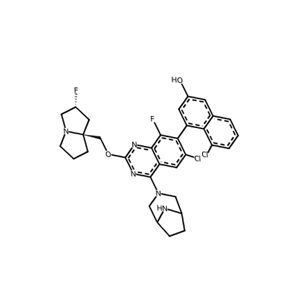 Oc1cc(-c2c(Cl)cc3c(N4CC5CCC(C4)N5)nc(OC[C@@]45CCCN4C[C@H](F)C5)nc3c2F)c2c(Cl)cccc2c1